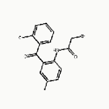 O=C(CBr)Nc1ccc(I)cc1C(=O)c1ccccc1Cl